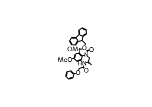 COc1ccc(N(C[C](C)NC(=O)COc2ccccc2)C(=O)OCC2c3ccccc3-c3ccccc32)c(OC)c1